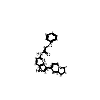 O=C(COc1ccccc1)Nc1ccc2[nH]cc(C3=CCN4CCCC4C3)c2n1